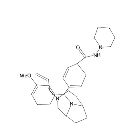 C=CCN1CCC2CCC(C1)N2C(C1=CCC(C(=O)NN2CCCCC2)C=C1)C1=CC(OC)=CCC1